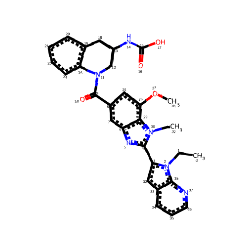 CCn1c(-c2nc3cc(C(=O)N4CC(NC(=O)O)Cc5ccccc54)cc(OC)c3n2C)cc2cccnc21